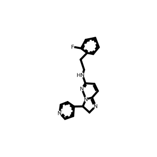 Fc1ccccc1CCNC1=NN2C(=NCC2c2ccncc2)C=C1